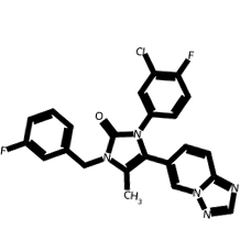 Cc1c(-c2ccc3ncnn3c2)n(-c2ccc(F)c(Cl)c2)c(=O)n1Cc1cccc(F)c1